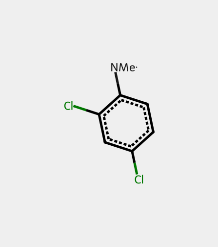 C[N]c1ccc(Cl)cc1Cl